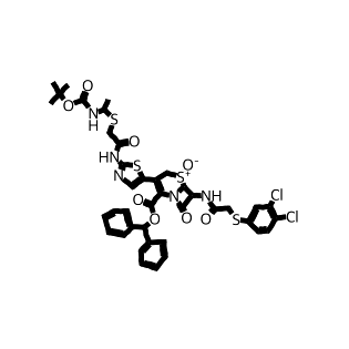 CC(NC(=O)OC(C)(C)C)SCC(=O)Nc1ncc(C2=C(C(=O)OC(c3ccccc3)c3ccccc3)N3C(=O)C(NC(=O)CSc4ccc(Cl)c(Cl)c4)C3[S+]([O-])C2)s1